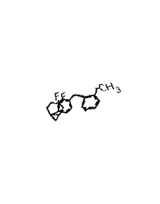 CCc1ccccc1Cc1ccc(C23CCC(F)(F)CC2C3)cc1